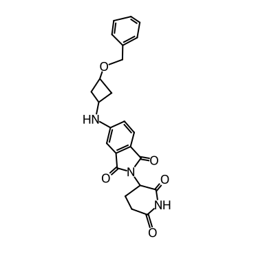 O=C1CCC(N2C(=O)c3ccc(NC4CC(OCc5ccccc5)C4)cc3C2=O)C(=O)N1